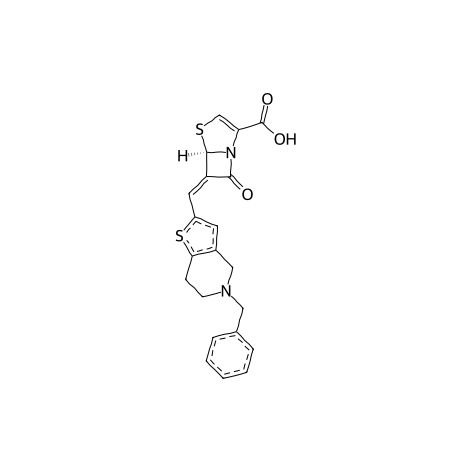 O=C(O)C1=CS[C@@H]2C(=Cc3cc4c(s3)CCN(Cc3ccccc3)C4)C(=O)N12